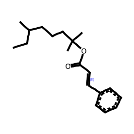 CCC(C)CCCC(C)(C)OC(=O)/C=C/c1ccccc1